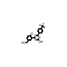 OCc1ccc(Cl)c(-c2nc(O)nc(-c3ccc(C(F)(F)F)cc3)n2)c1